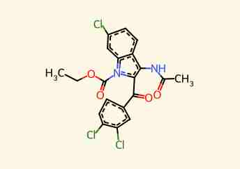 CCOC(=O)n1c(C(=O)c2ccc(Cl)c(Cl)c2)c(NC(C)=O)c2ccc(Cl)cc21